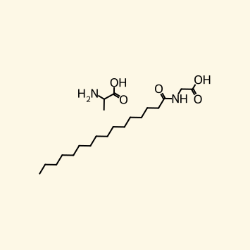 CC(N)C(=O)O.CCCCCCCCCCCCCCCC(=O)NCC(=O)O